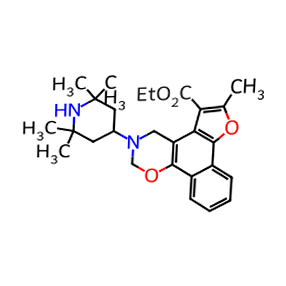 CCOC(=O)c1c(C)oc2c1c1c(c3ccccc32)OCN(C2CC(C)(C)NC(C)(C)C2)C1